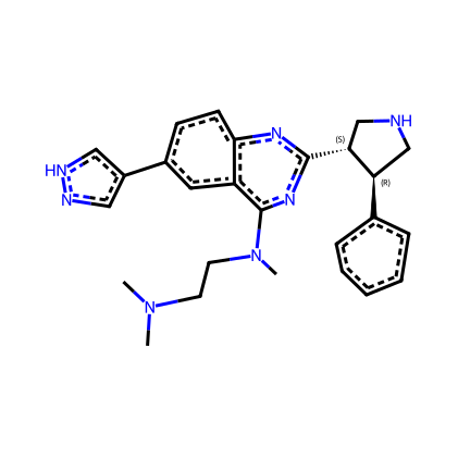 CN(C)CCN(C)c1nc([C@@H]2CNC[C@H]2c2ccccc2)nc2ccc(-c3cn[nH]c3)cc12